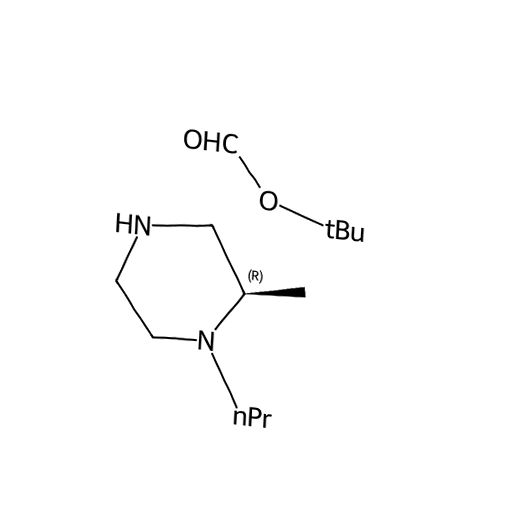 CC(C)(C)OC=O.CCCN1CCNC[C@H]1C